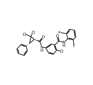 O=C(Nc1c(F)cccc1F)c1cc(NC(=O)[C@H]2[C@H](c3ccccc3)C2(Cl)Cl)ccc1Cl